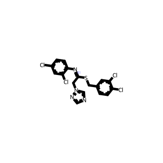 Clc1ccc(/N=C(\Cn2cncn2)SCc2ccc(Cl)c(Cl)c2)c(Cl)c1